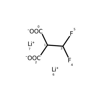 O=C([O-])C(C(=O)[O-])C(F)F.[Li+].[Li+]